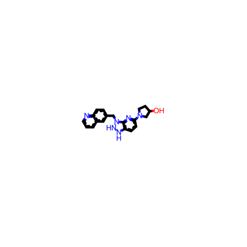 OC1CCN(c2ccc3c(n2)N(Cc2ccc4ncccc4c2)NN3)C1